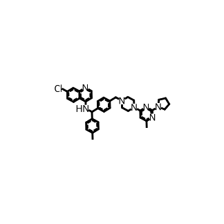 Cc1ccc(C(Nc2ccnc3cc(Cl)ccc23)c2ccc(CN3CCN(c4cc(C)nc(N5CCCC5)n4)CC3)cc2)cc1